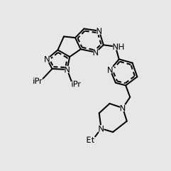 CCN1CCN(Cc2ccc(Nc3ncc4c(n3)-c3c(nc(C(C)C)n3C(C)C)C4)nc2)CC1